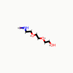 OCCOCCOCCNI